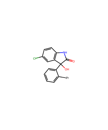 CC(C)c1ccccc1C1(O)C(=O)Nc2ccc(Cl)cc21